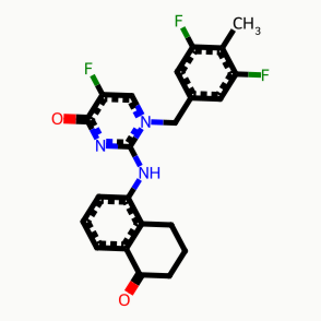 Cc1c(F)cc(Cn2cc(F)c(=O)nc2Nc2cccc3c2CCCC3=O)cc1F